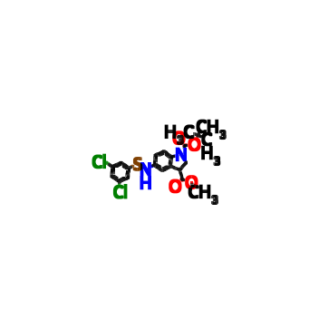 COC(=O)C1CN(C(=O)OC(C)(C)C)c2ccc(NSc3cc(Cl)cc(Cl)c3)cc21